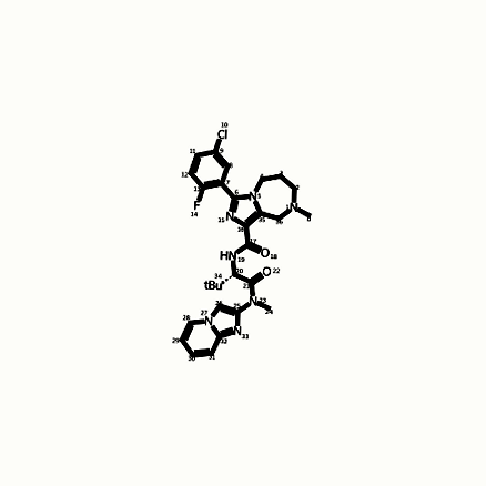 CN1CCCn2c(-c3cc(Cl)ccc3F)nc(C(=O)N[C@H](C(=O)N(C)c3cn4ccccc4n3)C(C)(C)C)c2C1